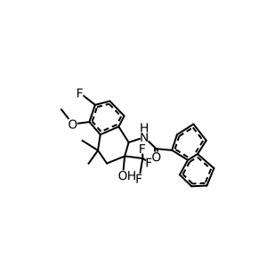 COc1c(F)ccc2c1C(C)(C)CC(O)(C(F)(F)F)C2NC(=O)c1cccc2ccccc12